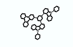 c1ccc(-n2c3ccccc3c3c(-c4cc(-c5ccc6c7ccccc7c7ccccc7c6c5)cc(-c5cccc6c5c5ccccc5n6-c5ccccc5)c4)cccc32)cc1